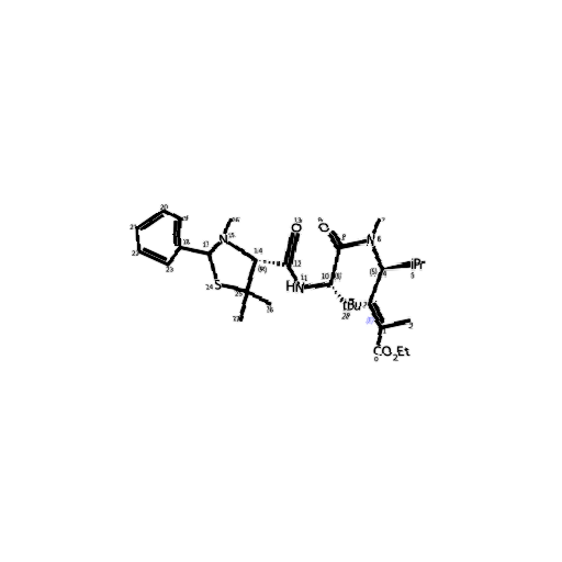 CCOC(=O)/C(C)=C/[C@H](C(C)C)N(C)C(=O)[C@@H](NC(=O)[C@H]1N(C)C(c2ccccc2)SC1(C)C)C(C)(C)C